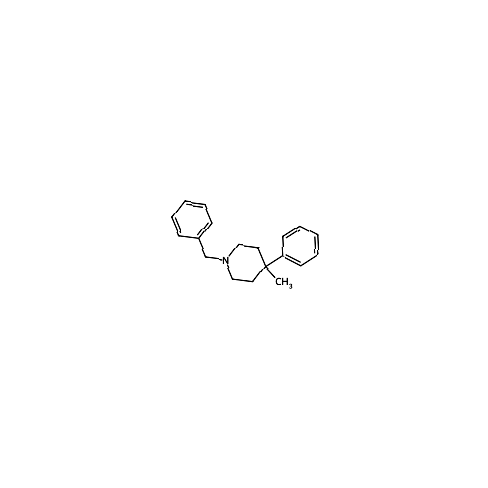 CC1(c2ccccc2)CCN(Cc2ccccc2)CC1